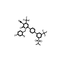 CC(C)S(=O)(=O)c1cc(-c2ccc(-c3cc(C(F)(F)F)c(C#N)c(=O)n3Cc3ccc(F)cc3F)cc2)cc(C(F)(F)F)c1